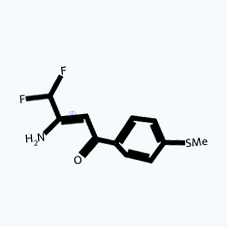 CSc1ccc(C(=O)/C=C(\N)C(F)F)cc1